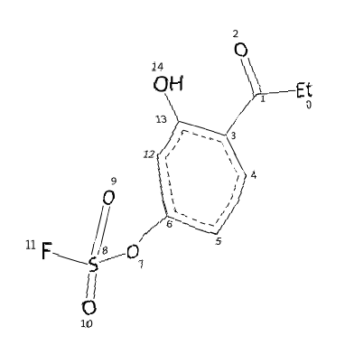 CCC(=O)c1ccc(OS(=O)(=O)F)cc1O